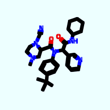 CN1CCN(C#N)C(C(=O)N(c2ccc(C(C)(C)C)cc2)C(C(=O)NC2CCCCC2)c2cccnc2)C1